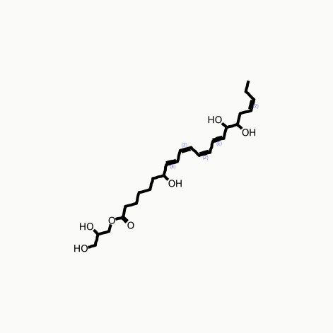 CC/C=C\CC(O)C(O)/C=C/C=C\C=C/C=C/C(O)CCCCCC(=O)OCC(O)CO